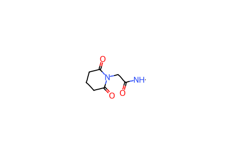 [NH]C(=O)CN1C(=O)CCCC1=O